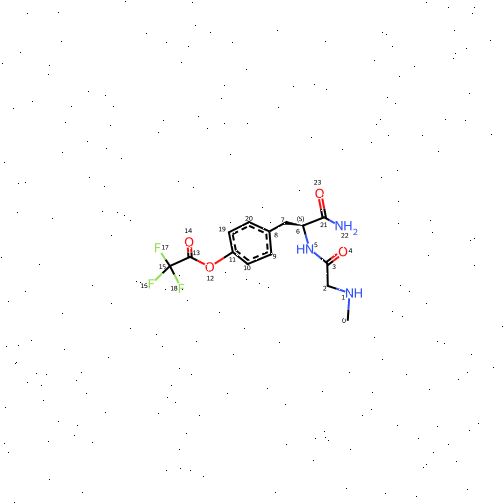 CNCC(=O)N[C@@H](Cc1ccc(OC(=O)C(F)(F)F)cc1)C(N)=O